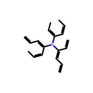 C=C/C=C(\C=C)N(C(/C=C\C)=C/C)C(/C=C\C)=C/C=C